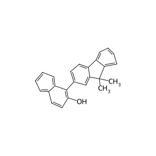 CC1(C)c2ccccc2-c2ccc(-c3c(O)ccc4ccccc34)cc21